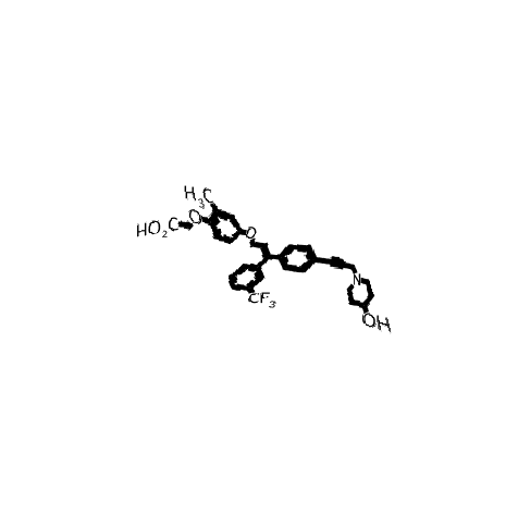 Cc1cc(OCC=C(c2ccc(C#CCN3CCC(O)CC3)cc2)c2cccc(C(F)(F)F)c2)ccc1OCC(=O)O